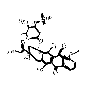 COc1cccc2c1C(=O)c1c(O)c3c(c(O)c1C2=O)C[C@@](O)(C(=O)CO)C[C@@H]3OC1CC(N[SH](C)(C)=O)C(O)C(C)O1